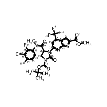 COC(=O)c1cc2c(C(F)(F)F)cc(N3C(=O)N(C(=O)OC(C)(C)C)CC3C(=O)N(C)c3ccc(F)c(Cl)c3F)nc2s1